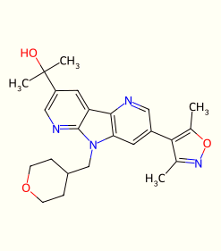 Cc1noc(C)c1-c1cnc2c3cc(C(C)(C)O)cnc3n(CC3CCOCC3)c2c1